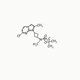 Cc1cc2ccc(Cl)nc2n1C1CC(N(C)C(=O)OC(C)(C)C)C1